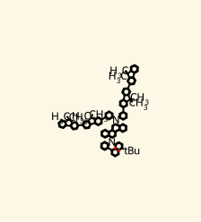 CC(C)(C)c1ccc(N(c2ccccc2-c2ccccc2)c2cc3c4ccccc4c(N(c4cccc(-c5ccc6c(c5)C(C)(C)c5cc(-c7ccc8c(c7)C(C)(C)c7ccccc7-8)ccc5-6)c4)c4cccc(-c5ccc6c(c5)C(C)(C)c5cc(-c7ccc8c(c7)C(C)(C)c7ccccc7-8)ccc5-6)c4)cc3c3ccccc23)cc1